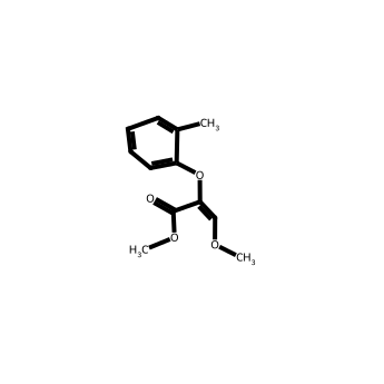 COC=C(Oc1ccccc1C)C(=O)OC